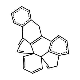 C1=CC23C=CC=C4C2=C(Cc2ccccc24)c2cccc4c2C3(C=C1)C=CC4